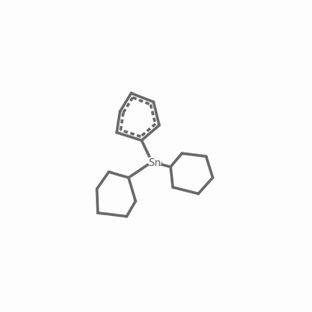 c1cc[c]([Sn]([CH]2CCCCC2)[CH]2CCCCC2)cc1